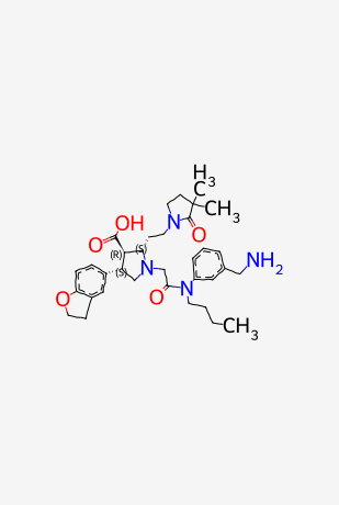 CCCCN(C(=O)CN1C[C@H](c2ccc3c(c2)CCO3)[C@@H](C(=O)O)[C@@H]1CCN1CCC(C)(C)C1=O)c1cccc(CN)c1